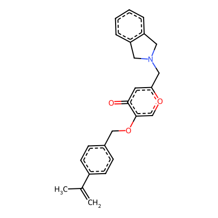 C=C(C)c1ccc(COc2coc(CN3Cc4ccccc4C3)cc2=O)cc1